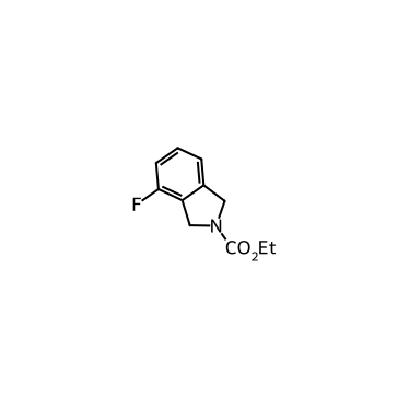 CCOC(=O)N1Cc2cccc(F)c2C1